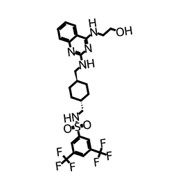 O=S(=O)(NC[C@H]1CC[C@H](CNc2nc(NCCO)c3ccccc3n2)CC1)c1cc(C(F)(F)F)cc(C(F)(F)F)c1